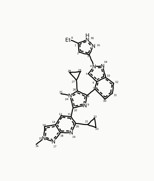 CCc1cc(-n2cc3c(-c4nc(-c5cc6cn(C)nc6nc5C5CC5)n(C)c4C4CC4)cccc3n2)n[nH]1